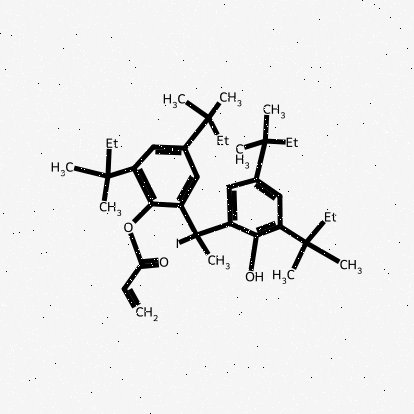 C=CC(=O)Oc1c(C(C)(C)CC)cc(C(C)(C)CC)cc1C(C)(I)c1cc(C(C)(C)CC)cc(C(C)(C)CC)c1O